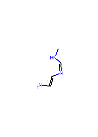 CN/C=N\C=C\N